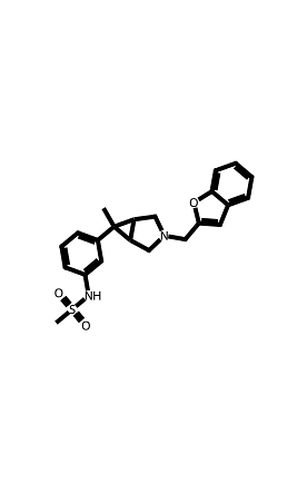 CC1(c2cccc(NS(C)(=O)=O)c2)C2CN(Cc3cc4ccccc4o3)CC21